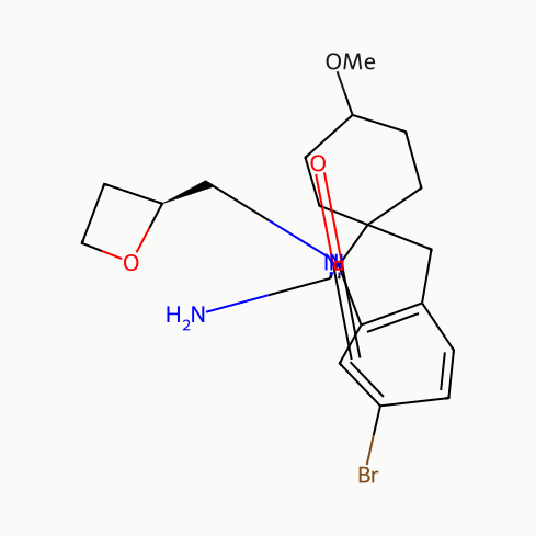 COC1CCC2(CC1)Cc1ccc(Br)cc1C21N=C(N)N(C[C@@H]2CCO2)C1=O